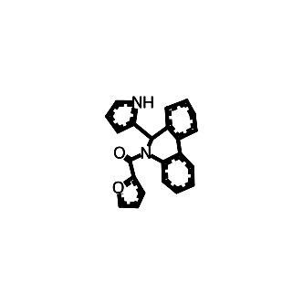 O=C(c1ccco1)N1c2ccccc2-c2ccccc2C1c1ccc[nH]1